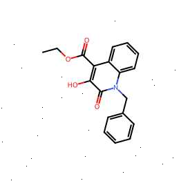 CCOC(=O)c1c(O)c(=O)n(Cc2ccccc2)c2ccccc12